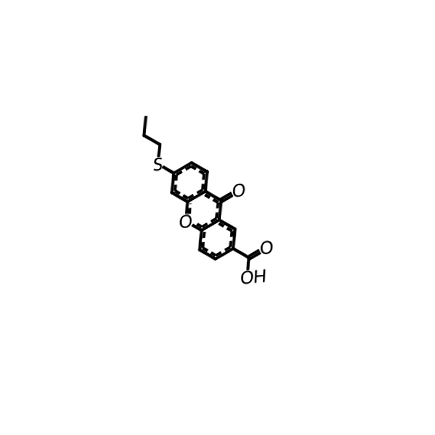 CCCSc1ccc2c(=O)c3cc(C(=O)O)ccc3oc2c1